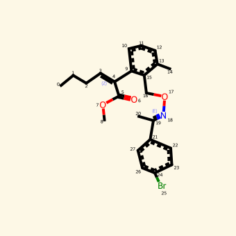 CCC/C=C(\C(=O)OC)c1cccc(C)c1CO/N=C(\C)c1ccc(Br)cc1